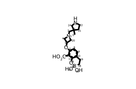 CC1(CN2CC(Oc3ccc4c(c3C(=O)O)O[B-](O)(O)CC4)C2)CCNC1